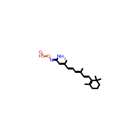 CC1=C(/C=C/C(C)=C/C=C/C(C)=C/C(N)=N/O[SH]=O)C(C)(C)CCC1